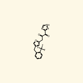 O=C(Cc1cc(Cc2ccccc2C(F)(F)F)co1)C(=O)c1nc[nH]n1